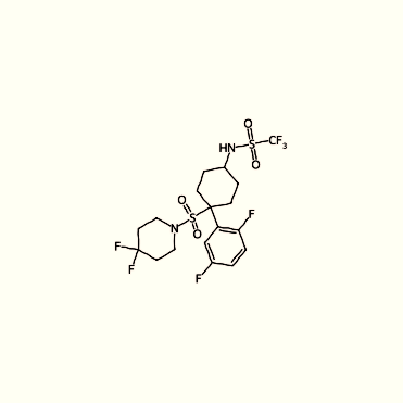 O=S(=O)(NC1CCC(c2cc(F)ccc2F)(S(=O)(=O)N2CCC(F)(F)CC2)CC1)C(F)(F)F